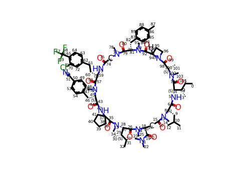 CC[C@H](C)[C@@H]1NC(=O)[C@H](CC(C)C)N(C)C(=O)C[C@@H](C(=O)N(C)C)N(C)C(=O)[C@H]([C@@H](C)CC)N(C)C(=O)C2(CCCC2)NC(=O)[C@H](Cc2ccc(C#N)cc2)N(C)C(=O)[C@H](CCc2ccc(C(F)(F)F)c(Cl)c2)NC(=O)CN(C)C(=O)[C@H](Cc2ccc(C)cc2)N(C)C(=O)[C@@H]2CCN2C(=O)[C@H](C)N(C)C1=O